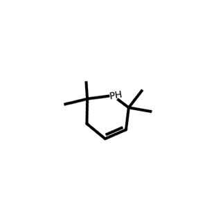 CC1(C)C=CCC(C)(C)P1